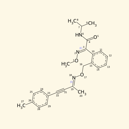 CO/N=C(/C(=O)NC(C)C)c1ccccc1CO/N=C(\C)C#Cc1ccc(C)cc1